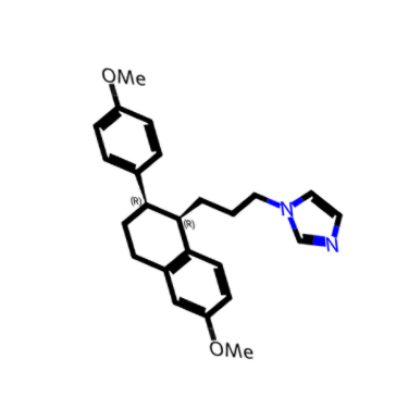 COc1ccc([C@@H]2CCc3cc(OC)ccc3[C@@H]2CCCn2ccnc2)cc1